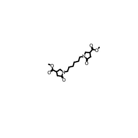 COC(=O)C1CC(=O)N(CCCCCCN2CC(C(=O)OC)CC2=O)C1